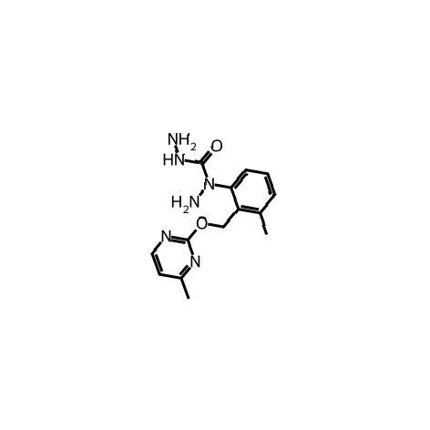 Cc1ccnc(OCc2c(C)cccc2N(N)C(=O)NN)n1